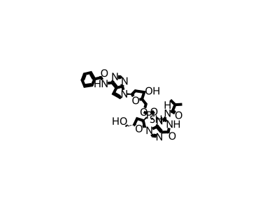 CC(C)C(=O)Nc1nc2c(ncn2[C@@H]2O[C@H](CO)C[C@H]2P(=O)(S)OCC2O[C@@H](n3ccc4c(NC(=O)c5ccccc5)ncnc43)C[C@@H]2O)c(=O)[nH]1